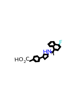 C[C@@H](NC1CCC(c2ccc(CC(=O)O)cc2)C1)c1ccc(F)c2ccccc12